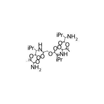 CC(C)C(N)C(=O)O[C@@H](C)C(=O)N[C@H](C(=O)OCC(=O)NC(C(=O)O[C@@H](C)C(N)=O)C(C)C)C(C)C